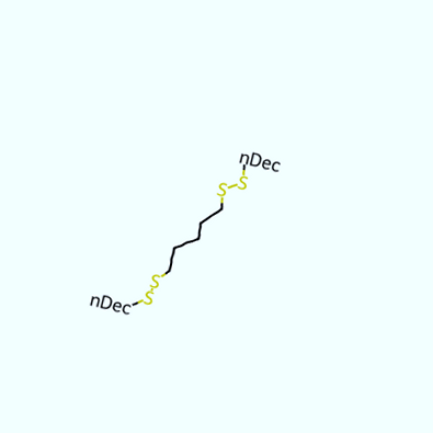 CCCCCCCCCCSSCCCCCSSCCCCCCCCCC